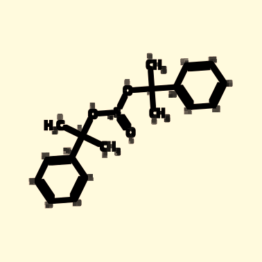 CC(C)(OS(=O)OC(C)(C)c1ccccc1)c1ccccc1